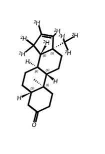 [2H]C1=C([2H])[C@@]2(C([2H])([2H])[2H])CC[C@H]3[C@@H](CC[C@H]4CC(=O)CC[C@@]43C)[C@]2([2H])C1([2H])[2H]